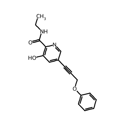 CCNC(=O)c1ncc(C#CCOc2ccccc2)cc1O